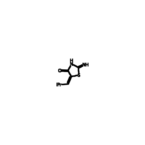 CC(C)/C=C1/SC(=N)NC1=O